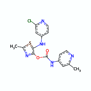 Cc1cc(NC(=O)Oc2nc(C)sc2Nc2ccnc(Cl)c2)ccn1